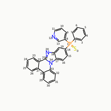 S=P(c1ccccc1)(c1cccnc1)c1ccc2c(c1)nc1c3ccccc3c3ccccc3n21